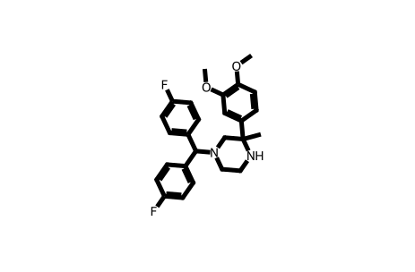 COc1ccc(C2(C)CN(C(c3ccc(F)cc3)c3ccc(F)cc3)CCN2)cc1OC